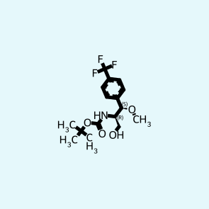 CO[C@@H](c1ccc(C(F)(F)F)cc1)[C@@H](CO)NC(=O)OC(C)(C)C